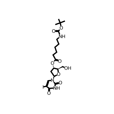 CC(C)(C)OC(=O)NCCCCCC(=O)O[C@H]1C[C@H](n2cc(I)c(=O)[nH]c2=O)O[C@@H]1CO